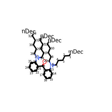 CCCCCCCCCCCCCCCN(CCCCCCCCCCCCCCC)c1ccccc1C(=O)c1ccccc1N(CCCCCCCCCCCCCCC)CCCCCCCCCCCCCCC